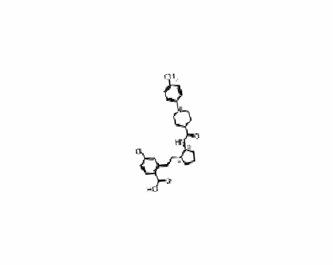 Cc1ccc(N2CCC(C(=O)N[C@H]3CCC[C@H]3CCc3cc(Cl)ccc3C(=O)O)CC2)cc1